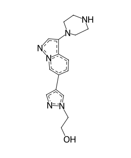 OCCn1cc(-c2ccc3c(N4CCNCC4)cnn3c2)cn1